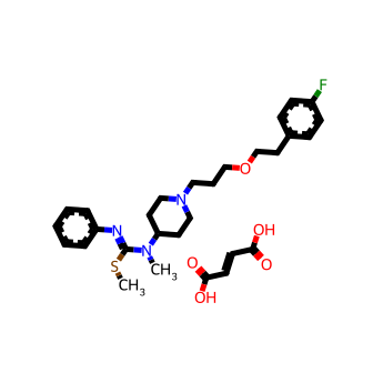 CSC(=Nc1ccccc1)N(C)C1CCN(CCCOCCc2ccc(F)cc2)CC1.O=C(O)C=CC(=O)O